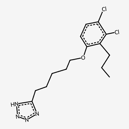 CCCc1c(OCCCCCc2nnn[nH]2)ccc(Cl)c1Cl